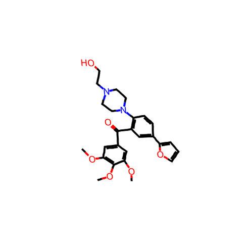 COc1cc(C(=O)c2cc(-c3ccco3)ccc2N2CCN(CCO)CC2)cc(OC)c1OC